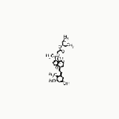 C=C1C(=CC=C2CCC[C@]3(C)C([C@H](C)OCC(=O)OC(CC)CC)=CC[C@@H]23)C[C@@H](O)C[C@@H]1O